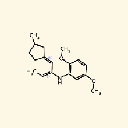 C/C=C(\C=C1/CCC(C)C1)Nc1cc(OC)ccc1OC